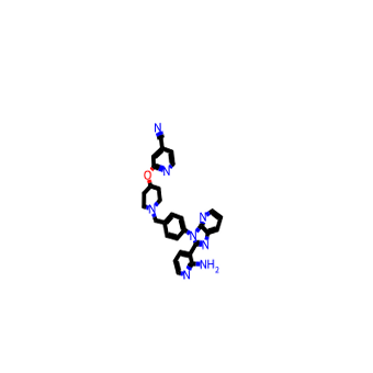 N#Cc1ccnc(OC2CCN(Cc3ccc(-n4c(-c5cccnc5N)nc5cccnc54)cc3)CC2)c1